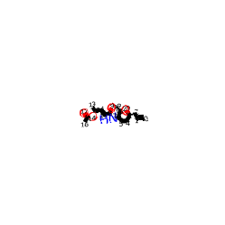 C=CC[C@H]1CC[C@@H](NC(=O)C=CC(C)OC(C)=O)[C@@H](C)O1